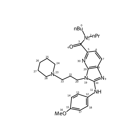 CCCCN(CCC)C(=O)c1ccc2nc(Nc3ccc(OC)cc3)n(CCCN3CCCCC3)c2n1